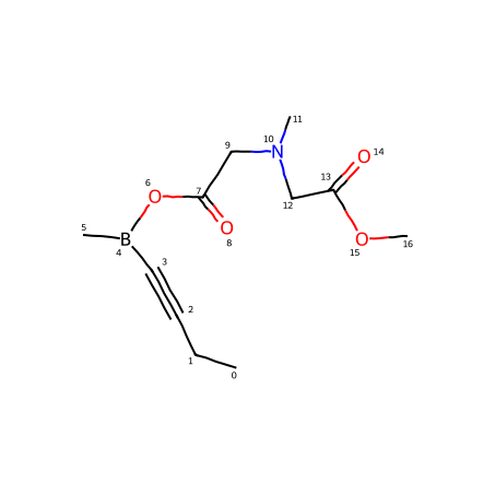 CCC#CB(C)OC(=O)CN(C)CC(=O)OC